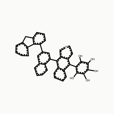 Oc1c(O)c(O)c(-c2c3ccccc3c(-c3cc(-c4cccc5c4-c4ccccc4C5)cc4ccccc34)c3ccccc23)c(O)c1O